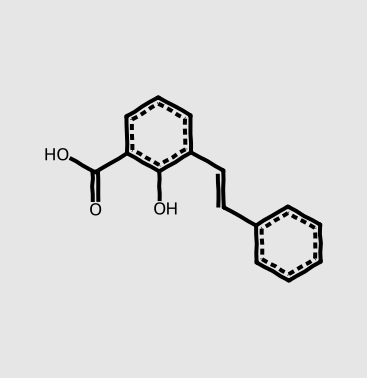 O=C(O)c1cccc(/C=C/c2ccccc2)c1O